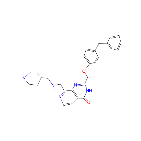 C[C@@H](Oc1ccc(Cc2ccccc2)cc1)c1nc2c(CNCC3CCNCC3)nccc2c(=O)[nH]1